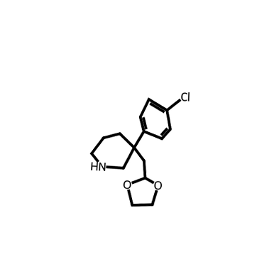 Clc1ccc(C2(CC3OCCO3)CCCNC2)cc1